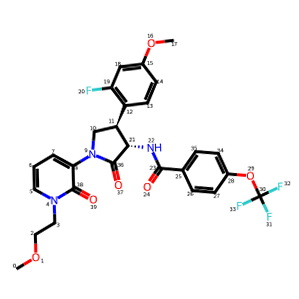 COCCn1cccc(N2C[C@@H](c3ccc(OC)cc3F)[C@H](NC(=O)c3ccc(OC(F)(F)F)cc3)C2=O)c1=O